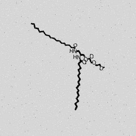 CCCCCCCCCCCCCCCCCC(=O)NCC(COC(=O)COCCOC)NC(=O)CCCCCCCCCCCCCCCCC